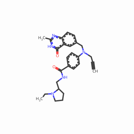 C#CCN(Cc1ccc2nc(C)[nH]c(=O)c2c1)c1ccc(C(=O)NCC2CCCN2CC)cc1